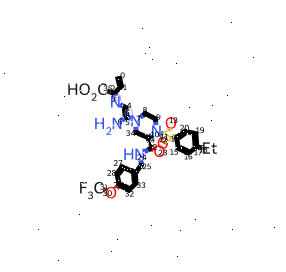 C=C/C(=N\C=C(/N)N1CCN(S(=O)(=O)c2ccc(CC)cc2)[C@@H](C(=O)NCc2ccc(OC(F)(F)F)cc2)C1)C(=O)O